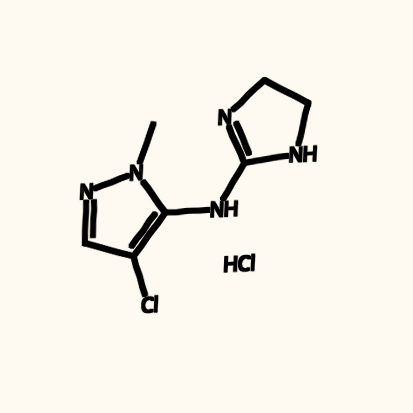 Cl.Cn1ncc(Cl)c1NC1=NCCN1